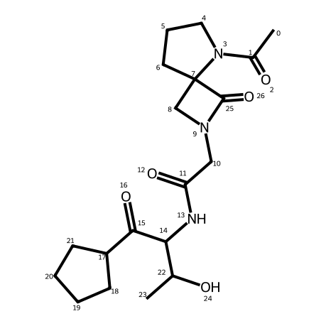 CC(=O)N1CCCC12CN(CC(=O)NC(C(=O)C1CCCC1)C(C)O)C2=O